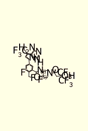 Nc1ncnn2c(-c3cc(F)c(CF)c(C(=O)N[C@@H]4CN(C(=O)CC(O)(C(F)(F)F)C(F)(F)F)C[C@@H]4F)c3)cc(C(F)(F)F)c12